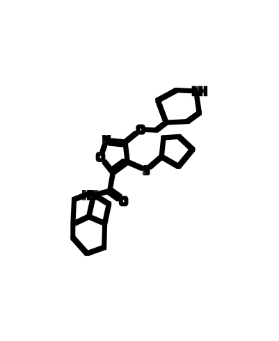 O=C(NC1C2CCCC1CCC2)c1onc(OCC2CCNCC2)c1SC1CCCC1